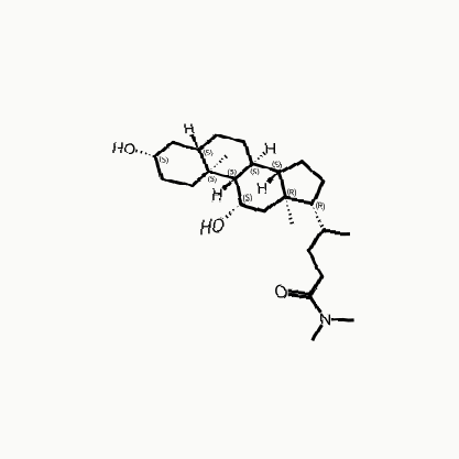 CC(CCC(=O)N(C)C)[C@H]1CC[C@H]2[C@@H]3CC[C@H]4C[C@@H](O)CC[C@]4(C)[C@H]3[C@@H](O)C[C@]12C